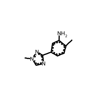 Cc1ccc(-c2ncn(C)n2)cc1N